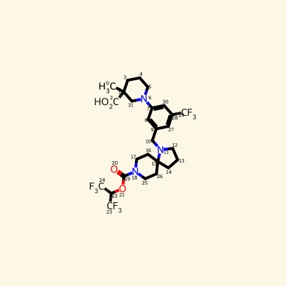 CC1(C(=O)O)CCCN(c2cc(CN3CCCC34CCN(C(=O)OC(C(F)(F)F)C(F)(F)F)CC4)cc(C(F)(F)F)c2)C1